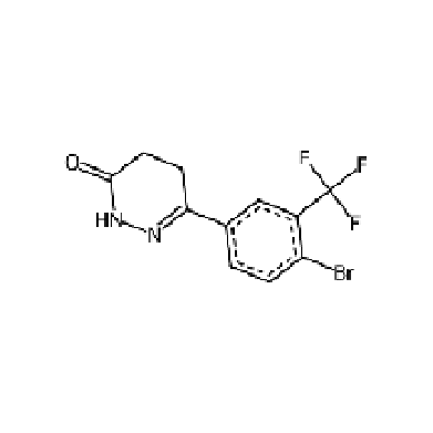 O=C1CCC(c2ccc(Br)c(C(F)(F)F)c2)=NN1